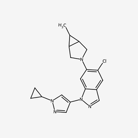 CC1C2CN(c3cc4c(cnn4-c4cnn(C5CC5)c4)cc3Cl)CC12